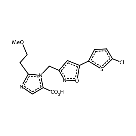 COCCc1ncc(C(=O)O)n1Cc1cc(-c2ccc(Cl)s2)on1